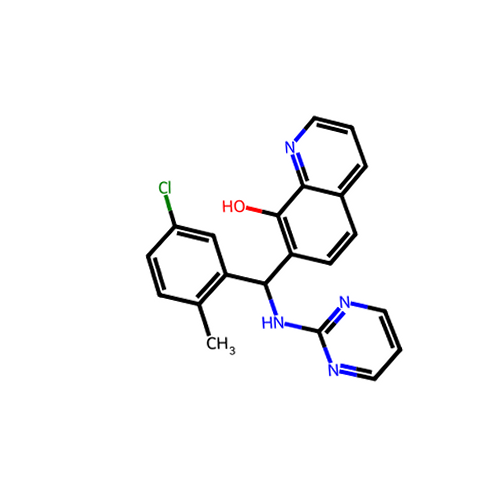 Cc1ccc(Cl)cc1C(Nc1ncccn1)c1ccc2cccnc2c1O